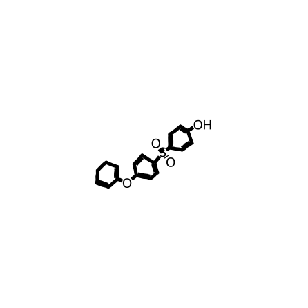 O=S(=O)(c1ccc(O)cc1)c1ccc(OC2=CCCC=C2)cc1